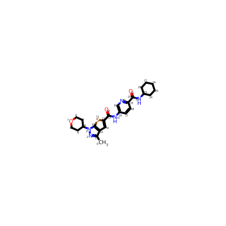 Cc1nn(C2CCOCC2)c2sc(C(=O)Nc3ccc(C(=O)NC4CCCCC4)nc3)cc12